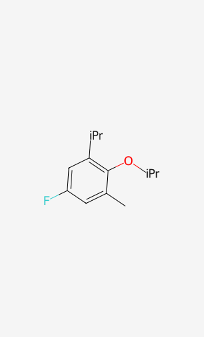 Cc1cc(F)cc(C(C)C)c1OC(C)C